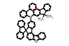 CC1(C)c2ccccc2-c2ccc(N(c3ccc4c(c3)C3(c5ccccc5-c5ccccc53)c3ccc5oc6ccccc6c5c3-4)c3ccccc3-c3ccccc3)cc21